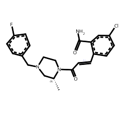 C[C@@H]1CN(Cc2ccc(F)cc2)CCN1C(=O)/C=C/c1ccc(Cl)cc1C(N)=O